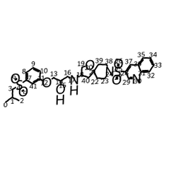 CC(C)CS(=O)(=O)c1cccc(OCC(O)CN[C@H]2COC3(CCN(S(=O)(=O)c4cnc5ccccc5c4)CC3)C2)c1